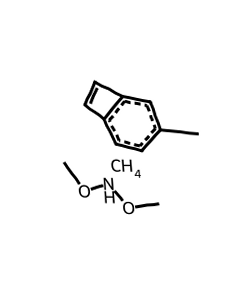 C.CONOC.Cc1ccc2c(c1)C=C2